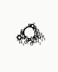 CC[C@@H]1[C@@H]2CN(C(=O)[C@H](C(C)(C)C)NC(=O)O[C@@H]3CCC[C@H]3CCCCC(F)(F)c3nc4ccccc4nc3O2)[C@@H]1C(C)=O